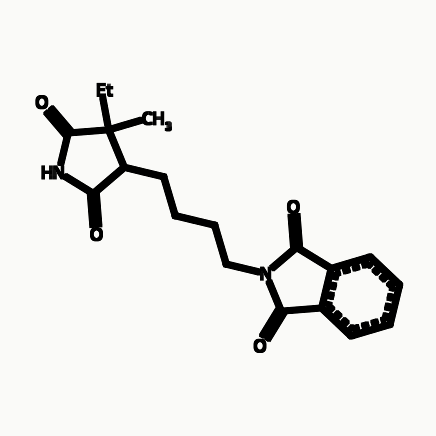 CCC1(C)C(=O)NC(=O)C1CCCCN1C(=O)c2ccccc2C1=O